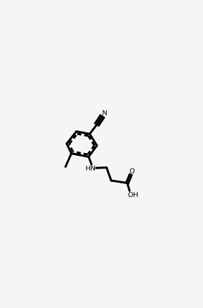 Cc1ccc(C#N)cc1NCCC(=O)O